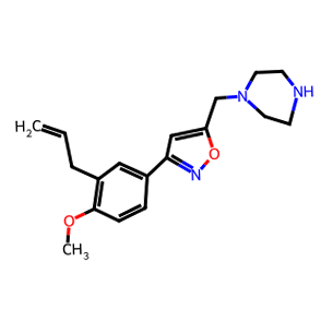 C=CCc1cc(-c2cc(CN3CCNCC3)on2)ccc1OC